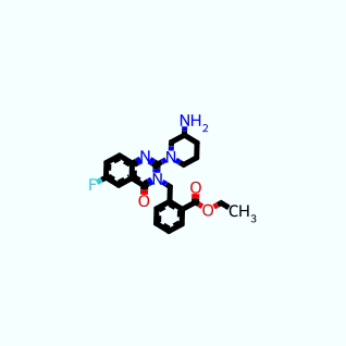 CCOC(=O)c1ccccc1Cn1c(N2CCCC(N)C2)nc2ccc(F)cc2c1=O